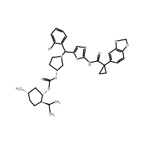 CC(C)[C@H]1CC[C@H](C)C[C@@H]1OC(=O)O[C@@H]1CCN(C(c2cnc(NC(=O)C3(c4ccc5c(c4)OCO5)CC3)s2)c2ccccc2Cl)C1